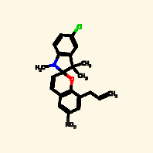 C=CCc1cc([N+](=O)[O-])cc2c1OC1(C=C2)N(C)c2ccc(Cl)cc2C1(C)C